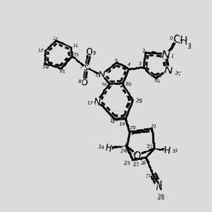 Cn1cc(-c2cn(S(=O)(=O)c3ccccc3)c3ncc(C4=C[C@H]5O[C@@H]4CC5C#N)cc23)cn1